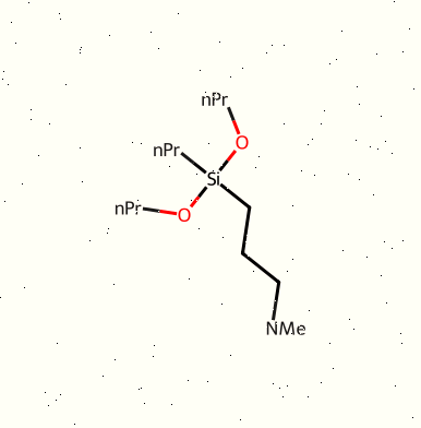 CCCO[Si](CCC)(CCCNC)OCCC